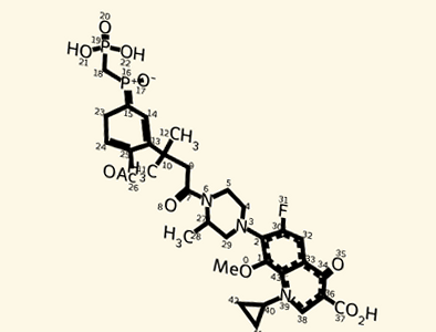 COc1c(N2CCN(C(=O)CC(C)(C)C3=C/C(=[P+](\[O-])CP(=O)(O)O)CC=C3OC(C)=O)C(C)C2)c(F)cc2c(=O)c(C(=O)O)cn(C3CC3)c12